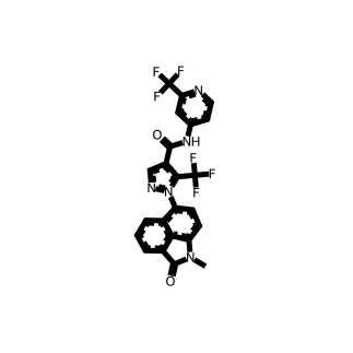 CN1C(=O)c2cccc3c(-n4ncc(C(=O)Nc5ccnc(C(F)(F)F)c5)c4C(F)(F)F)ccc1c23